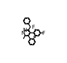 Cc1nnc(Cc2ccccc2)c(-c2c(F)cc(F)cc2F)c1-c1ccccc1